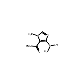 CNC(=O)c1c(N(C)C(C)=O)ncn1C